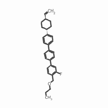 C=C[C@H]1CC[C@H](c2ccc(-c3ccc(-c4ccc(COCCC)c(F)c4)cc3)cc2)CC1